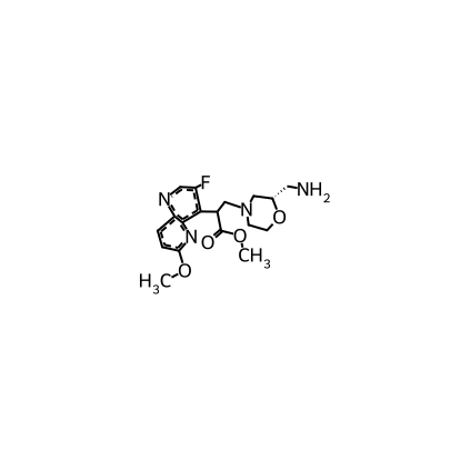 COC(=O)C(CN1CCO[C@@H](CN)C1)c1c(F)cnc2ccc(OC)nc12